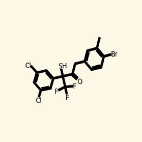 Cc1cc(CC(=O)C(S)(c2cc(Cl)cc(Cl)c2)C(F)(F)F)ccc1Br